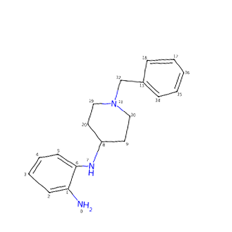 Nc1ccccc1NC1CCN(Cc2ccccc2)CC1